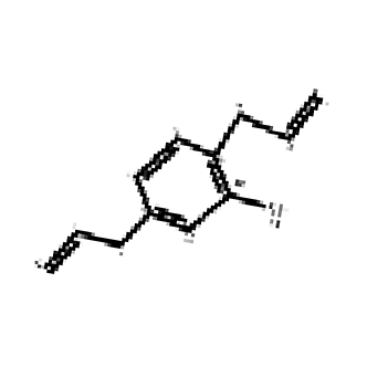 C=CCc1ccc(CC=C)c(S)c1